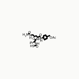 CC(=O)OCc1ccc(NC(=O)C(CCCNC(N)=O)NC(=O)C(NC(=O)S)C(C)C)cc1